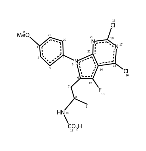 COc1ccc(-n2c(CC(C)NC(=O)O)c(F)c3c(Cl)nc(Cl)nc32)cc1